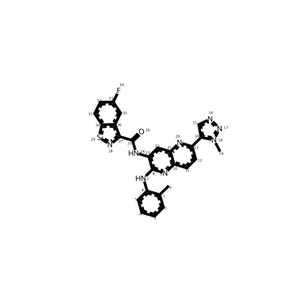 Cc1ccccc1Nc1nc2ccc(-c3cnnn3C)nc2cc1NC(=O)c1nsc2ccc(F)cc12